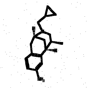 C[C@@H]1CN(CC2CC2)[C@@H]2Cc3ccc(N)cc3[C@H]1C2